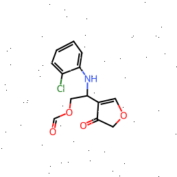 O=COCC(Nc1ccccc1Cl)C1=COCC1=O